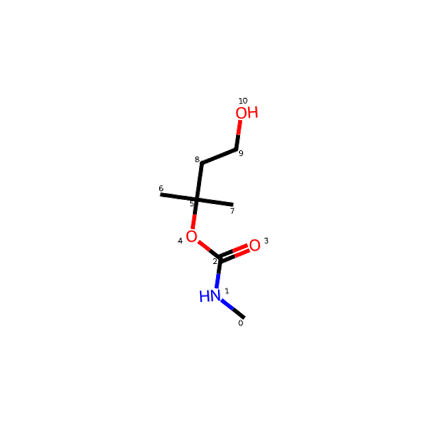 CNC(=O)OC(C)(C)CCO